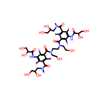 CN(CC(O)CO)C(=O)c1c(I)c(NC(=O)C(O)CO)c(I)c(C(=O)N(CCO)CCN(CCO)C(=O)c2c(I)c(NC(=O)C(O)CO)c(I)c(C(=O)N(C)CC(O)CO)c2I)c1I